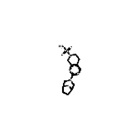 NS(=O)(=O)N1CCc2cnc(N3CC4CCC(C3)O4)nc2C1